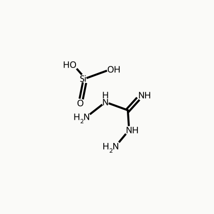 N=C(NN)NN.O=[Si](O)O